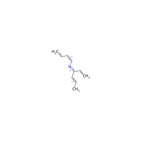 C=C\C=C/N=C(C=C)/C=C/C